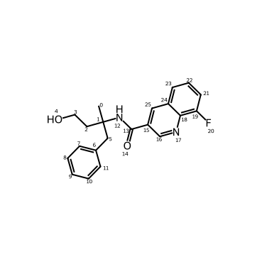 CC(CCO)(Cc1ccccc1)NC(=O)c1cnc2c(F)cccc2c1